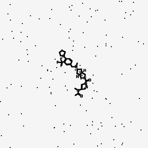 CC(=O)N(C)c1cnn(C(=O)N2C[C@H]3C[C@H](N(C)Cc4ccc(N5CCCC5)c(C(F)(F)F)c4)C[C@H]3C2)c1